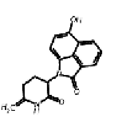 C=C1CCC(N2C(=O)c3cccc4c(O)ccc2c34)C(=O)N1